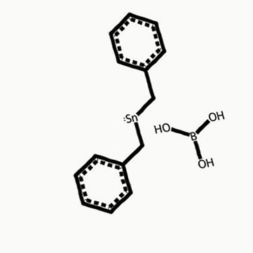 OB(O)O.c1ccc([CH2][Sn][CH2]c2ccccc2)cc1